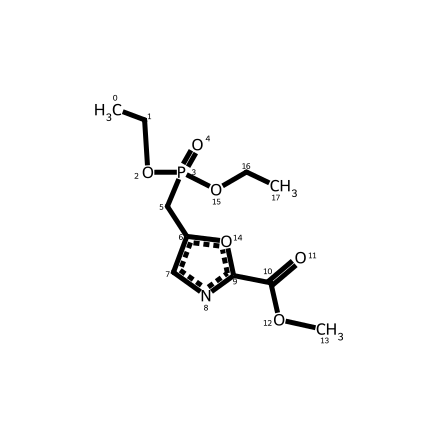 CCOP(=O)(Cc1cnc(C(=O)OC)o1)OCC